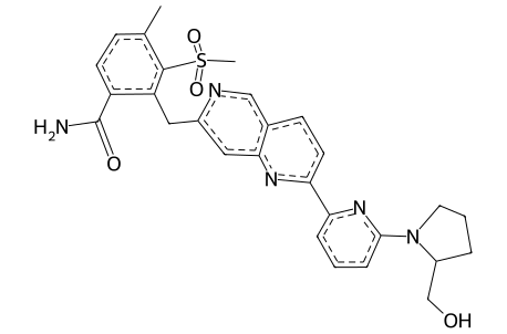 Cc1ccc(C(N)=O)c(Cc2cc3nc(-c4cccc(N5CCCC5CO)n4)ccc3cn2)c1S(C)(=O)=O